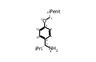 CCC[C@@H](C)COc1ccc([C@H](N)C(C)C)cc1